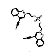 CC#Cc1c[n+](CCOS(=O)(=O)OCC[n+]2cc(C#CC)c3ccccc3n2)nc2ccccc12